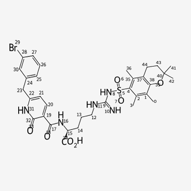 Cc1c(C)c(S(=O)(=O)NC(=N)NCCC[C@H](NC(=O)c2ccc(Cc3cccc(Br)c3)[nH]c2=O)C(=O)O)c(C)c2c1OC(C)(C)CC2